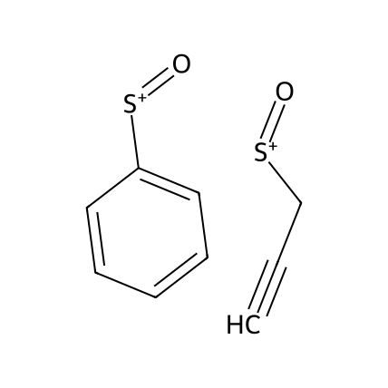 C#CC[S+]=O.O=[S+]c1ccccc1